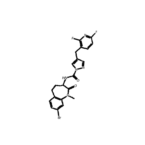 CN1C(=O)C(NC(=O)n2cc(Cc3ccc(F)nc3F)cn2)CCc2ccc(Br)cc21